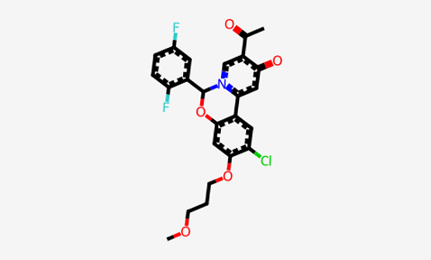 COCCCOc1cc2c(cc1Cl)-c1cc(=O)c(C(C)=O)cn1C(c1cc(F)ccc1F)O2